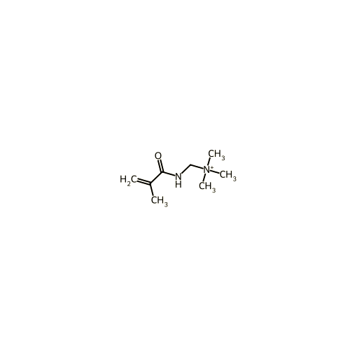 C=C(C)C(=O)NC[N+](C)(C)C